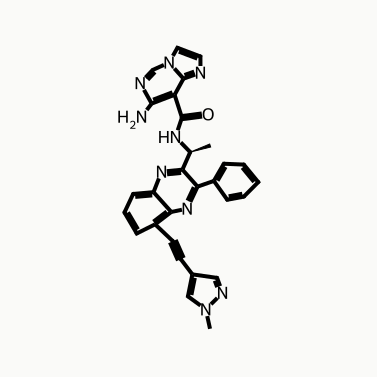 C[C@H](NC(=O)c1c(N)ncn2ccnc12)c1nc2cccc(C#Cc3cnn(C)c3)c2nc1-c1ccccc1